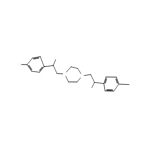 O=[N+]([O-])c1ccc(C(F)CN2CCN(CC(F)c3ccc(I)cc3)CC2)cc1